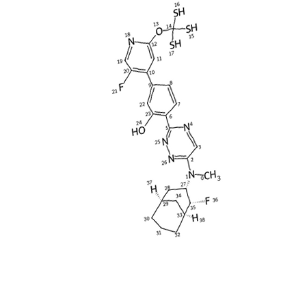 CN(c1cnc(-c2ccc(-c3cc(OC(S)(S)S)ncc3F)cc2O)nn1)[C@H]1C[C@@H]2CCC[C@@H](C2)[C@H]1F